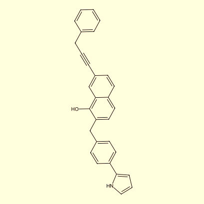 Oc1c(Cc2ccc(-c3ccc[nH]3)cc2)ccc2ccc(C#CCc3ccccc3)cc12